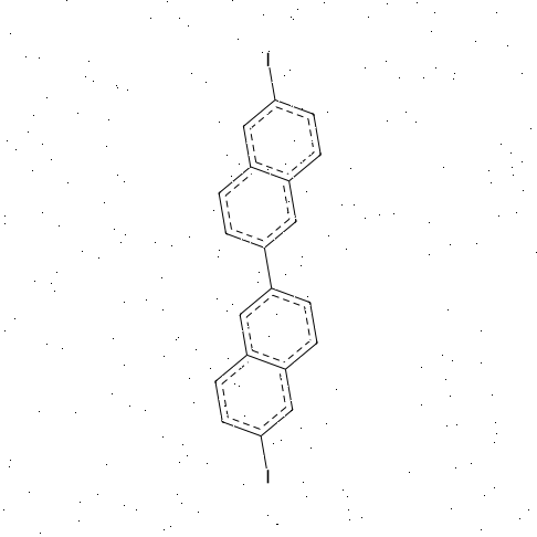 Ic1ccc2cc(-c3ccc4cc(I)ccc4c3)ccc2c1